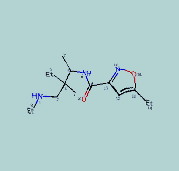 CCNCC(C)(CC)C(C)NC(=O)c1cc(CC)on1